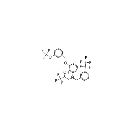 OC(CN(Cc1cccc(C(F)(F)C(F)(F)F)c1)c1cccc(OCc2cccc(OC(F)(F)F)c2)c1)C(F)(F)F